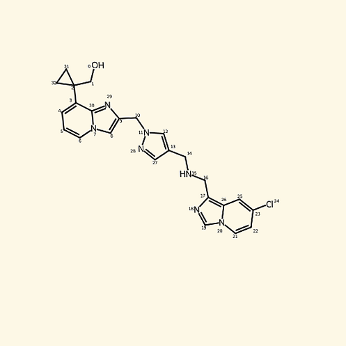 OCC1(c2cccn3cc(Cn4cc(CNCc5ncn6ccc(Cl)cc56)cn4)nc23)CC1